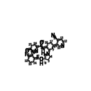 C[C@@]1(O)CCN(c2cc(-c3cnccc3C#N)ccc2NC(=O)c2ccc(=O)n(-c3c(F)cccc3F)n2)C1